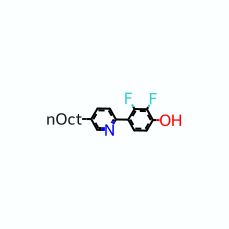 CCCCCCCCc1ccc(-c2ccc(O)c(F)c2F)nc1